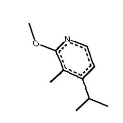 COc1nccc(C(C)C)c1C